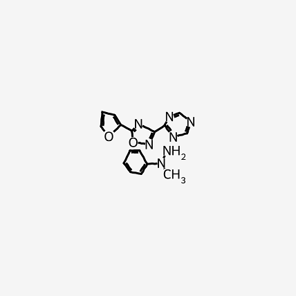 CN(N)c1ccccc1.c1coc(-c2nc(-c3ncncn3)no2)c1